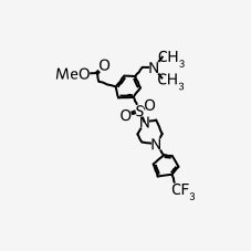 COC(=O)Cc1cc(CN(C)C)cc(S(=O)(=O)N2CCN(c3ccc(C(F)(F)F)cc3)CC2)c1